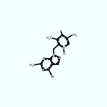 Cc1c[n+]([O-])c(Cn2ncc3c(Br)nc(N)nc32)c(C)c1I